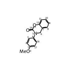 COc1ccc(N2Cc3ccccc3OC2=O)cc1